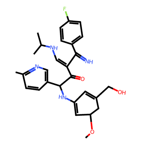 COC1C=C(NC(C(=O)/C(=C/NC(C)C)C(=N)c2ccc(F)cc2)c2ccc(C)nc2)C=C(CO)C1